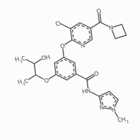 CC(O)C(C)Oc1cc(Oc2ncc(C(=O)N3CCC3)cc2Cl)cc(C(=O)Nc2ccn(C)n2)c1